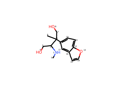 CNC(CO)C(C)(CO)c1ccc2occc2c1